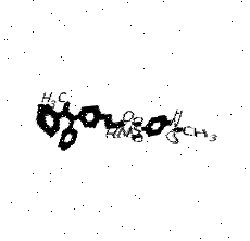 CCC(=C(c1ccccc1)c1ccc(C=CC(=O)NS(=O)(=O)c2ccc(NC(C)=O)cc2)cc1)c1ccccc1